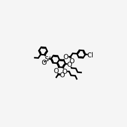 CCCCOc1c(OCCCC)c(OC(=O)Cc2ccc(Cl)cc2)c2ccc([S+]([O-])c3ccccc3CC)cc2c1OC(C)=O